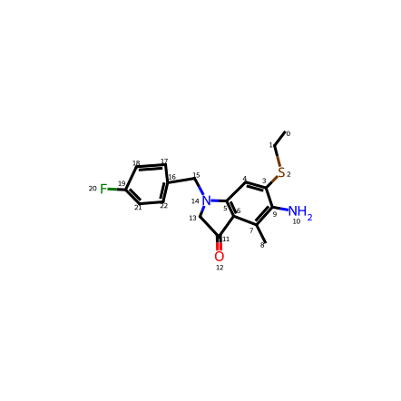 CCSc1cc2c(c(C)c1N)C(=O)CN2Cc1ccc(F)cc1